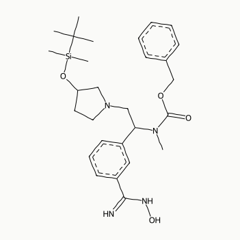 CN(C(=O)OCc1ccccc1)C(CN1CCC(O[Si](C)(C)C(C)(C)C)C1)c1cccc(C(=N)NO)c1